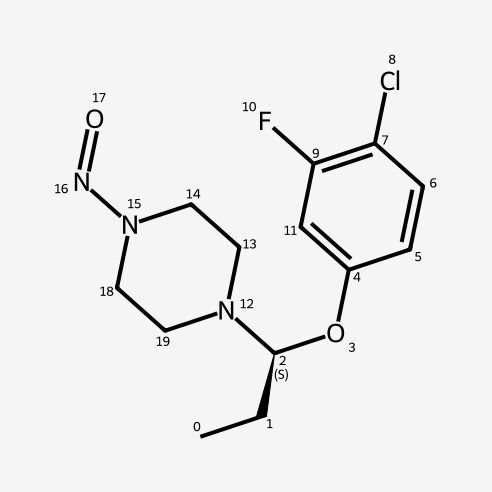 CC[C@H](Oc1ccc(Cl)c(F)c1)N1CCN(N=O)CC1